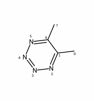 Cc1nnnnc1C